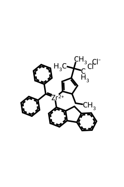 CCC1C=C(C(C)(C)C)C=[C]1[Zr+2](=[C](c1ccccc1)c1ccccc1)[c]1cccc2c1Cc1ccccc1-2.[Cl-].[Cl-]